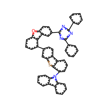 c1ccc(-c2nc(-c3ccccc3)nc(-c3ccc4oc5cccc(-c6ccc7c(c6)sc6c(-n8c9ccccc9c9ccccc98)cccc67)c5c4c3)n2)cc1